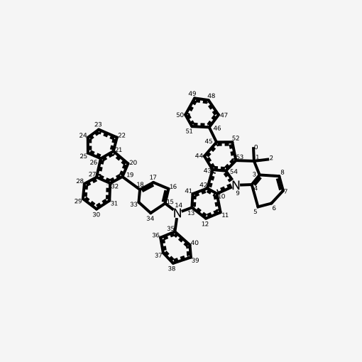 CC1(C)C2=C(CCC=C2)n2c3ccc(N(C4=CC=C(c5cc6ccccc6c6ccccc56)CC4)c4ccccc4)cc3c3cc(-c4ccccc4)cc1c32